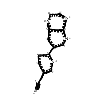 N#Cc1ccc(-c2cnc3nccnc3c2)nc1